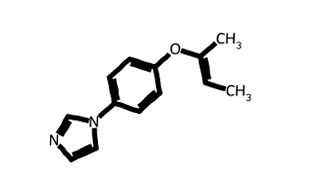 CC=C(C)Oc1ccc(-n2ccnc2)cc1